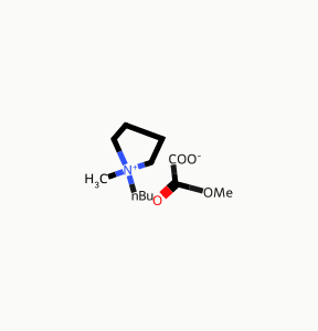 CCCC[N+]1(C)CCCC1.COC(=O)C(=O)[O-]